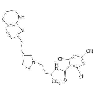 N#Cc1cc(Cl)c(C(=O)NC(CCN2CCC(CCc3ccc4c(n3)NCCC4)C2)C(=O)O)c(Cl)c1